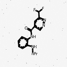 CCCNc1ccccc1NC(=O)c1cnnc(C(F)F)c1